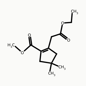 CCOC(=O)CC1=C(C(=O)OC)CC(C)(C)C1